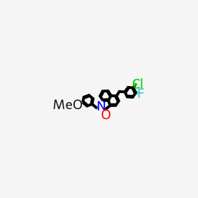 COc1cccc(CN2C(=O)c3ccc(Cc4ccc(F)c(Cl)c4)c4cccc2c34)c1